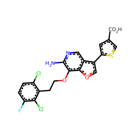 Nc1ncc2c(-c3cc(C(=O)O)cs3)coc2c1OCCc1c(Cl)ccc(F)c1Cl